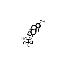 C[C@]12CC[C@@H]3c4ccc(O)cc4CC[C@H]3[C@@H]1CC[C@@H]2OC(O)C(Cl)(Cl)Cl